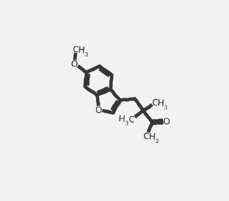 COc1ccc2c(CC(C)(C)C(C)=O)coc2c1